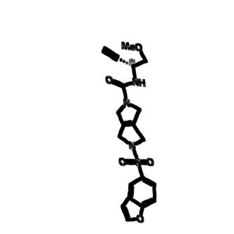 C#C[C@H](COC)NC(=O)N1CC2=C(C1)CN(S(=O)(=O)c1ccc3occc3c1)C2